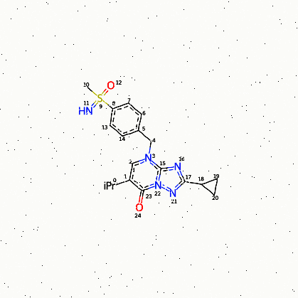 CC(C)c1cn(Cc2ccc(S(C)(=N)=O)cc2)c2nc(C3CC3)nn2c1=O